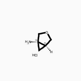 Cl.N[C@]12COC[C@H]1C2